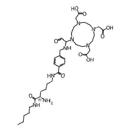 CCCCCNC(=O)[C@H](N)CCCCNC(=O)c1ccc(CNC(C=O)N2CCN(CC(=O)O)CCN(CC(=O)O)CCN(CC(=O)O)CC2)cc1